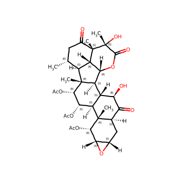 CC(=O)O[C@H]1[C@H]2[C@H]([C@@H]3[C@H]4OC(=O)[C@@](C)(O)[C@@]5(C)C(=O)C[C@@H](C)[C@@H]([C@@H]45)[C@@]3(C)[C@H]1OC(C)=O)[C@@H](O)C(=O)[C@H]1C[C@@H]3O[C@@H]3[C@H](OC(C)=O)[C@]21C